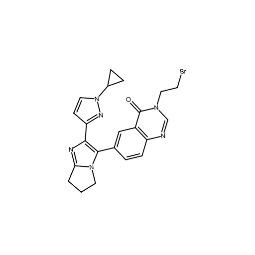 O=c1c2cc(-c3c(-c4ccn(C5CC5)n4)nc4n3CCC4)ccc2ncn1CCBr